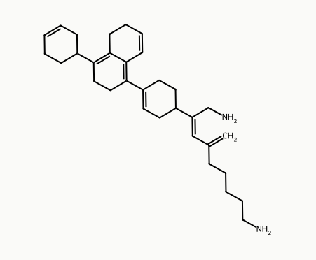 C=C(/C=C(\CN)C1CC=C(C2=C3C=CCCC3=C(C3CC=CCC3)CC2)CC1)CCCCCN